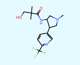 CN1CC(NC(=O)C(C)(C)CO)C(c2ccc(C(F)(F)F)nc2)C1